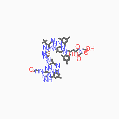 CNc1nc(NCCCOC)c(N=Nc2nn(-c3nnc(-n4nc(C(C)(C)C)c(C#N)c4N=Nc4c(C)cc(N(CCCCC(=O)N(CC(=O)O)CC(=O)O)c5c(C)cc(C)cc5C)nc4Nc4c(C)cc(C)cc4C)s3)cc2C#N)c(Nc2c(C)cc(C)cc2C)n1